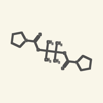 CC(C)(OC(=O)N1CCCC1)C(C)(C)OC(=O)N1CCCC1